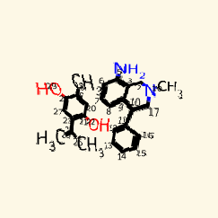 CN1Cc2c(N)cccc2C(c2ccccc2)C1.Cc1cc(O)c(C(C)C)cc1O